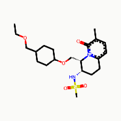 CCOCC1CCC(OC[C@H]2[C@@H](NS(C)(=O)=O)CCc3ccc(C)c(=O)n32)CC1